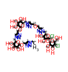 CCn1cc(CO[C@H]2O[C@H](Cn3cc(CO[C@H]4O[C@H](Cn5cc(COCc6cn(C[C@H]7OC(CCl)(OC8O[C@H](CO)[C@H](Cl)[C@H](O)C8O)[C@@H](O)[C@@H]7O)nn6)nn5)[C@@H](O)[C@H](O)[C@@H]4O)nn3)[C@@H](O)[C@H](O)[C@@H]2O)nn1